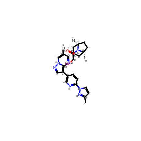 Cc1ccn(-c2ccc(-c3cnn4cc(C=O)c([C@@H]5C[C@H]6CC[C@@H](C5)N6C(=O)CO)nc34)cn2)n1